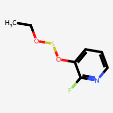 CCOSOc1cccnc1F